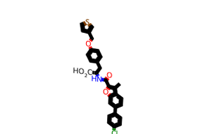 Cc1c(C(=O)NC(Cc2ccc(OCc3ccsc3)cc2)C(=O)O)oc2cc(-c3ccc(Cl)cc3)ccc12